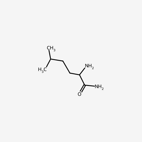 CC(C)CCC(N)C(N)=O